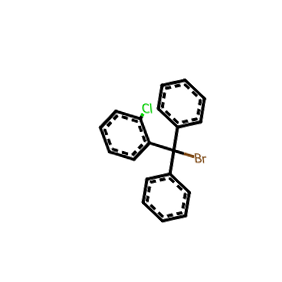 Clc1ccccc1C(Br)(c1ccccc1)c1ccccc1